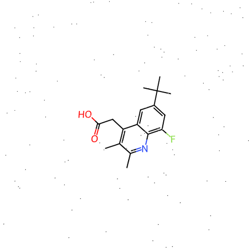 Cc1nc2c(F)cc(C(C)(C)C)cc2c(CC(=O)O)c1C